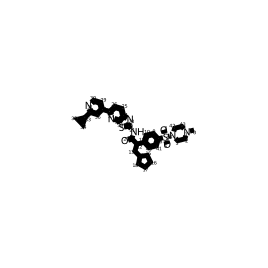 CN1CCN(S(=O)(=O)c2ccc(C(CC3CCCC3)C(=O)Nc3nc4ccc(-c5ccnc(C6CC6)c5)nc4s3)cc2)CC1